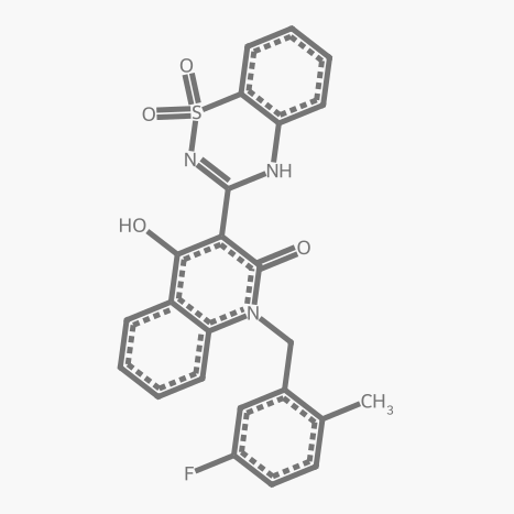 Cc1ccc(F)cc1Cn1c(=O)c(C2=NS(=O)(=O)c3ccccc3N2)c(O)c2ccccc21